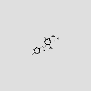 CCN(C)/C=N\c1cc2c(cc1Cl)S(=O)(Cc1ccc(Cl)cc1)=NC2=O